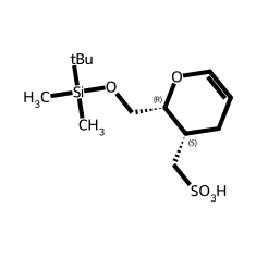 CC(C)(C)[Si](C)(C)OC[C@@H]1OC=CC[C@@H]1CS(=O)(=O)O